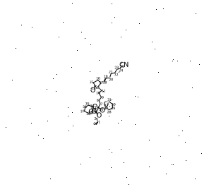 C=CCOC(=O)C(CCCCC[C@H]1C(=O)CC[C@@H]1/C=C/CCCCCC#N)(OC1CCCCO1)OC1CCCCO1